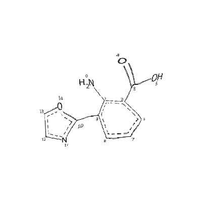 Nc1c(C(=O)O)cccc1-c1ncco1